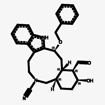 N#CN1CCc2c([nH]c3ccccc23)[C@H](OCc2ccccc2)C[C@H]2[C@@H](CC[C@H](O)[C@@H]2C=O)C1